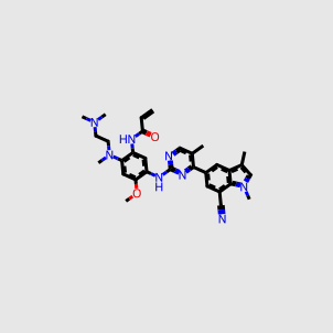 C=CC(=O)Nc1cc(Nc2ncc(C)c(-c3cc(C#N)c4c(c3)c(C)cn4C)n2)c(OC)cc1N(C)CCN(C)C